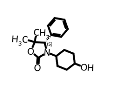 CC1(C)OC(=O)N(C2CCC(O)CC2)[C@H]1c1ccccc1